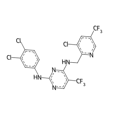 FC(F)(F)c1cnc(CNc2nc(Nc3ccc(Cl)c(Cl)c3)ncc2C(F)(F)F)c(Cl)c1